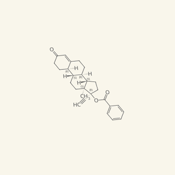 C#C[C@@]1(OC(=O)c2ccccc2)CC[C@H]2[C@@H]3CCC4=CC(=O)CC[C@@H]4[C@H]3CC[C@@]21C